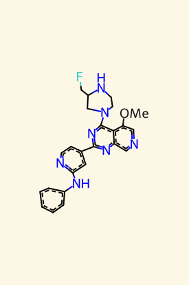 COc1cncc2nc(-c3ccnc(Nc4ccccc4)c3)nc(N3CCNC(CF)C3)c12